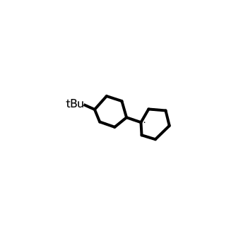 CC(C)(C)C1CCC([C]2CCCCC2)CC1